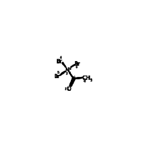 CC(=O)[N+](Br)(Br)Br